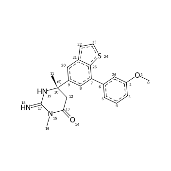 COc1cccc(-c2cc([C@]3(C)CC(=O)N(C)C(=N)N3)cc3ccsc23)c1